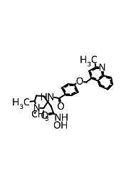 Cc1cc(COc2ccc(C(=O)NC3(CC(=O)NO)CCC(C)N(C)C3)cc2)c2ccccc2n1